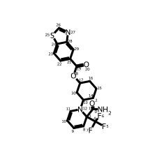 NC(=O)C1(C(F)(F)F)C=CC=CN1C1CCCC(OC(=O)c2ccc3scnc3c2)C1